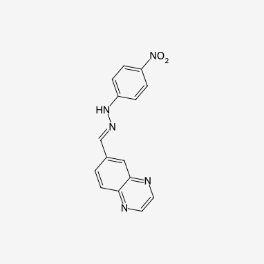 O=[N+]([O-])c1ccc(NN=Cc2ccc3nccnc3c2)cc1